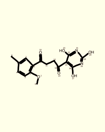 COc1ccc(C)cc1C(=O)CCC(=O)c1c(O)nc(O)nc1O